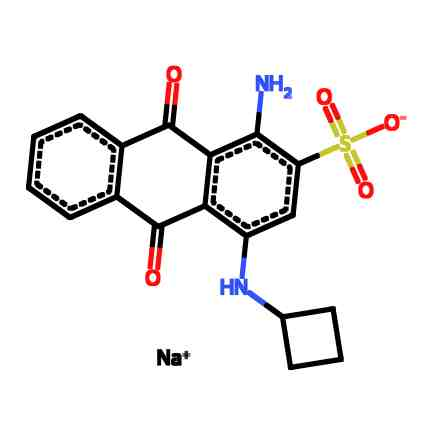 Nc1c(S(=O)(=O)[O-])cc(NC2CCC2)c2c1C(=O)c1ccccc1C2=O.[Na+]